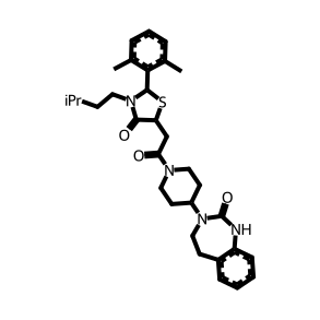 Cc1cccc(C)c1C1SC(CC(=O)N2CCC(N3CCc4ccccc4NC3=O)CC2)C(=O)N1CCC(C)C